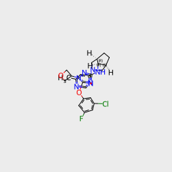 Cc1cc(N2C[C@H]3CC[C@@H](C2)[C@H]3Nc2nc(Oc3cc(F)cc(Cl)c3)n(C3COC3)n2)ncn1